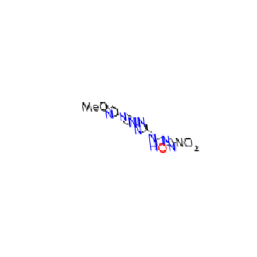 COc1ccc(N2CCN(c3ncc(CNC4COc5nc([N+](=O)[O-])cn5C4)cn3)CC2)cn1